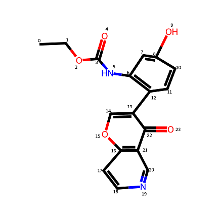 CCOC(=O)Nc1cc(O)ccc1-c1coc2ccncc2c1=O